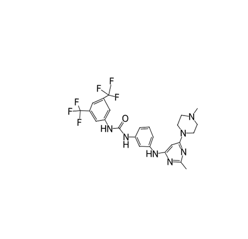 Cc1nc(Nc2cccc(NC(=O)Nc3cc(C(F)(F)F)cc(C(F)(F)F)c3)c2)cc(N2CCN(C)CC2)n1